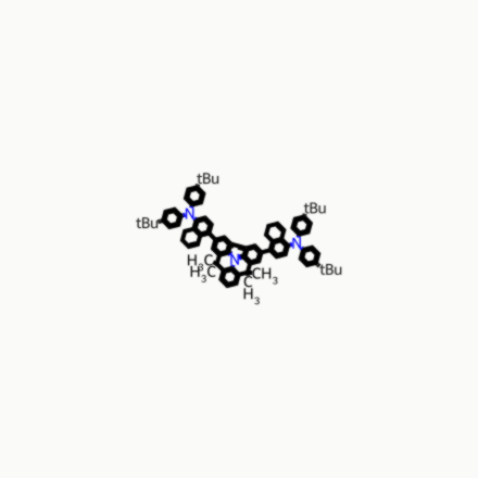 CC(C)(C)c1ccc(N(c2ccc(C(C)(C)C)cc2)c2ccc(-c3cc4c5c(c3)c3cc(-c6ccc(N(c7ccc(C(C)(C)C)cc7)c7ccc(C(C)(C)C)cc7)c7c6C=CCC7)cc6c3n5-c3c(cccc3C4(C)C)C6(C)C)c3c2C=CCC3)cc1